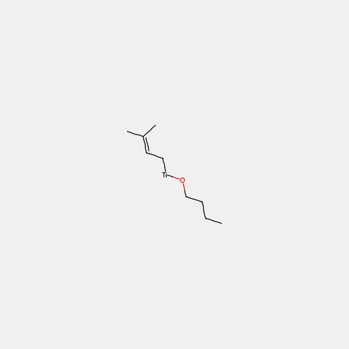 CCCC[O][Ti][CH2]C=C(C)C